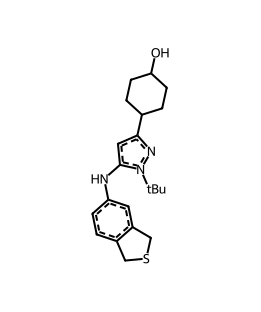 CC(C)(C)n1nc(C2CCC(O)CC2)cc1Nc1ccc2c(c1)CSC2